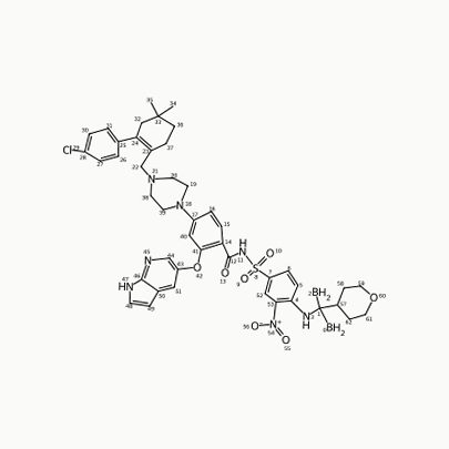 BC(B)(Nc1ccc(S(=O)(=O)NC(=O)c2ccc(N3CCN(CC4=C(c5ccc(Cl)cc5)CC(C)(C)CC4)CC3)cc2Oc2cnc3[nH]ccc3c2)cc1[N+](=O)[O-])C1CCOCC1